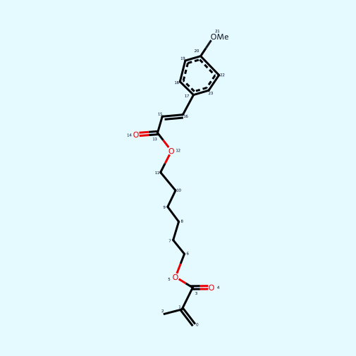 C=C(C)C(=O)OCCCCCCOC(=O)C=Cc1ccc(OC)cc1